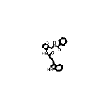 O=C(C=Cc1c[nH]c2ccccc12)Nc1ccoc1CNC(=O)c1ccccc1